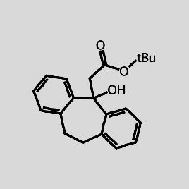 CC(C)(C)OC(=O)CC1(O)c2ccccc2CCc2ccccc21